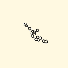 c1ccc(-c2cc(-c3ccc(-c4ccncc4)cc3)nc(-c3cccc(-c4ccc5ccc6c(-c7ccc8ccccc8c7)ccc7ccc4c5c76)c3)n2)cc1